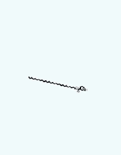 CCCCCCCCCCCCCCCCCCCCCCCCCCCCOC(=O)C1CCCNC1